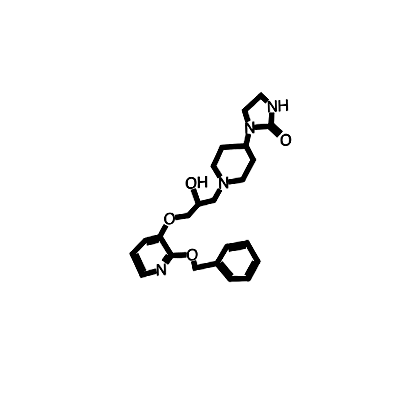 O=C1NCCN1C1CCN(CC(O)COc2cccnc2OCc2ccccc2)CC1